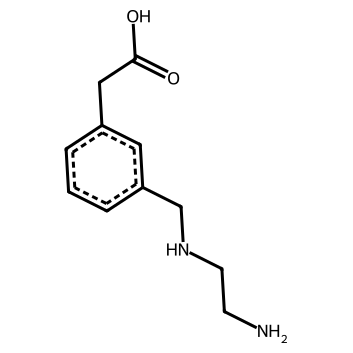 NCCNCc1cccc(CC(=O)O)c1